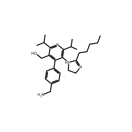 CCCCCC1=NCC[SH]1c1c(C(C)C)nc(C(C)C)c(CO)c1-c1ccc(CN)cc1